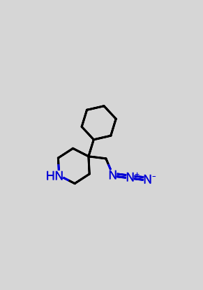 [N-]=[N+]=NCC1(C2CCCCC2)CCNCC1